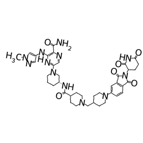 Cn1cc(Nc2nc(N3CCC[C@@H](NC(=O)C4CCN(CC5CCN(c6ccc7c(c6)C(=O)N(C6CCC(=O)NC6=O)C7=O)CC5)CC4)C3)cnc2C(N)=O)cn1